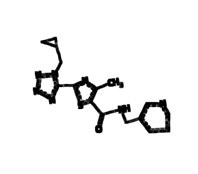 Cc1nc(-c2nnnn2CC2CC2)sc1C(=O)NCc1cccnc1